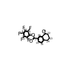 O=C(Oc1c(F)c(F)c(F)c(F)c1F)c1ccc2c(c1)C(=O)CCC2